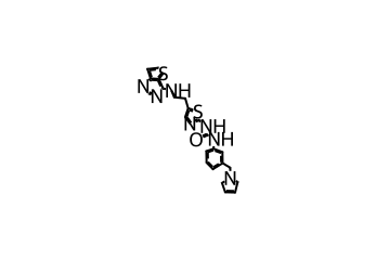 O=C(Nc1cccc(CN2CC=CC2)c1)Nc1ncc(CCNc2ncnc3ccsc23)s1